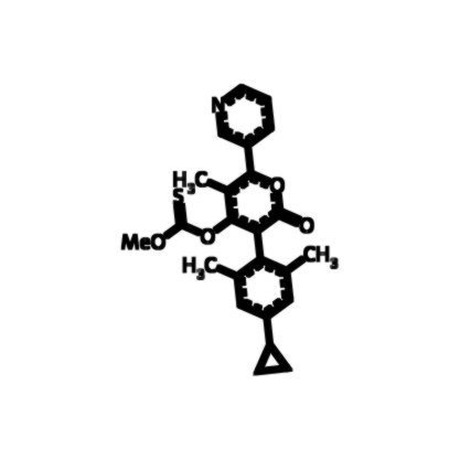 COC(=S)Oc1c(C)c(-c2cccnc2)oc(=O)c1-c1c(C)cc(C2CC2)cc1C